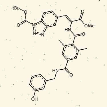 COC(=O)C(=Cc1ccc2c(c1)nnn2C(=O)OC(C)(C)C)NC(=O)c1c(C)cc(C(=O)NCc2cccc(O)c2)cc1C